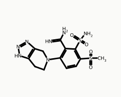 CS(=O)(=O)c1ccc(N2CCc3[nH]nnc3C2)c(C(=N)N)c1S(N)(=O)=O